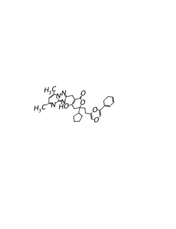 Cc1cc(C)n2nc(CC3=C(O)CC(CCC4=COC=C(C5=CC=CCC5)O4)(C4CCCC4)OC3=O)nc2n1